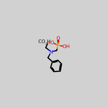 O=C(O)CN(Cc1ccccc1)CP(=O)(O)O